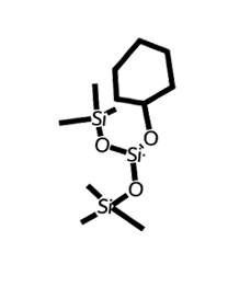 C[Si](C)(C)O[Si](OC1CCCCC1)O[Si](C)(C)C